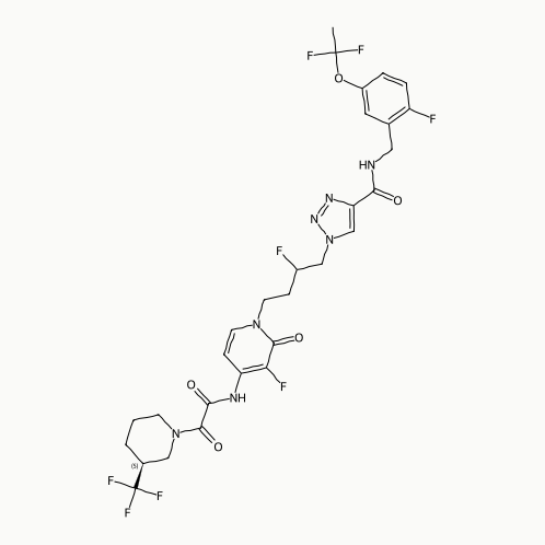 CC(F)(F)Oc1ccc(F)c(CNC(=O)c2cn(CC(F)CCn3ccc(NC(=O)C(=O)N4CCC[C@H](C(F)(F)F)C4)c(F)c3=O)nn2)c1